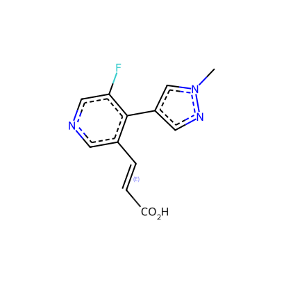 Cn1cc(-c2c(F)cncc2/C=C/C(=O)O)cn1